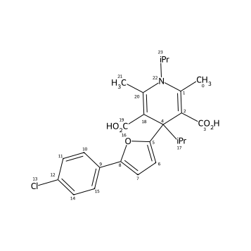 CC1=C(C(=O)O)C(c2ccc(-c3ccc(Cl)cc3)o2)(C(C)C)C(C(=O)O)=C(C)N1C(C)C